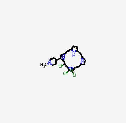 CN1C=CC(C2=Cc3cc4ccc(cc5nc(cc6c(Cl)c(Cl)c(c(Cl)c2n3)n6Cl)C=C5)[nH]4)=CC1